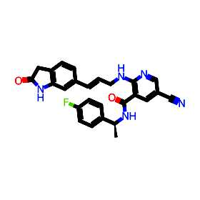 C[C@H](NC(=O)c1cc(C#N)cnc1NC/C=C/c1ccc2c(c1)NC(=O)C2)c1ccc(F)cc1